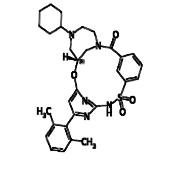 Cc1cccc(C)c1-c1cc2nc(n1)NS(=O)(=O)c1cccc(c1)C(=O)N1CCN(C3CCCCC3)C[C@H](C1)O2